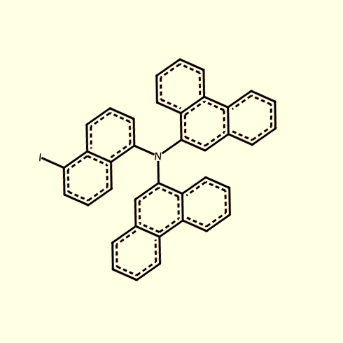 Ic1cccc2c(N(c3cc4ccccc4c4ccccc34)c3cc4ccccc4c4ccccc34)cccc12